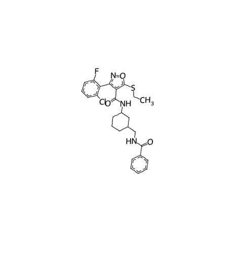 CCSc1onc(-c2c(F)cccc2Cl)c1C(=O)NC1CCCC(CNC(=O)c2ccccc2)C1